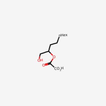 CCCCCCCCC(CO)OC(=O)C(=O)O